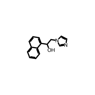 OC(Cn1ccnc1)c1cccc2ccccc12